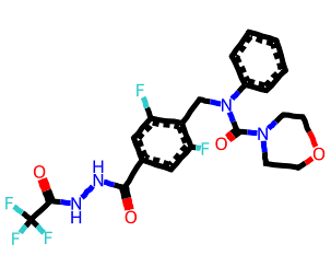 O=C(NNC(=O)C(F)(F)F)c1cc(F)c(CN(C(=O)N2CCOCC2)c2ccccc2)c(F)c1